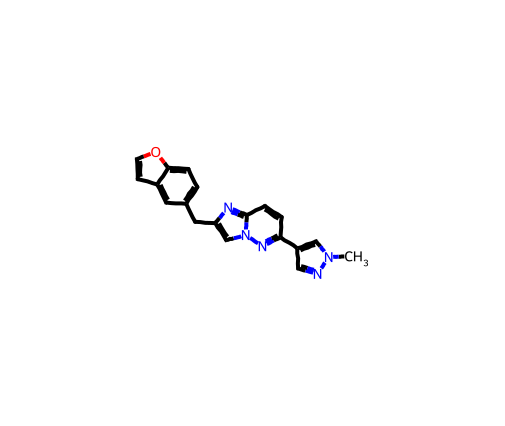 Cn1cc(-c2ccc3nc(Cc4ccc5occc5c4)cn3n2)cn1